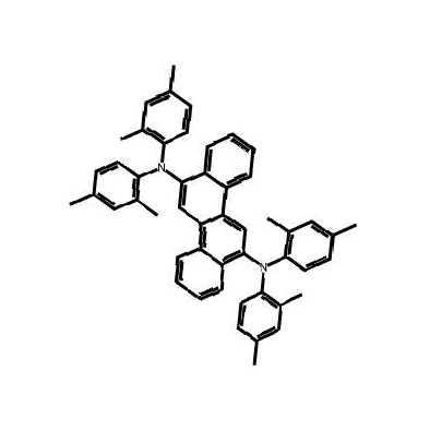 Cc1ccc(N(c2ccc(C)cc2C)c2cc3c4ccccc4c(N(c4ccc(C)cc4C)c4ccc(C)cc4C)cc3c3ccccc23)c(C)c1